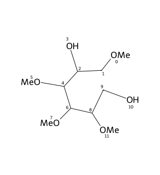 COCC(O)C(OC)C(OC)C(CO)OC